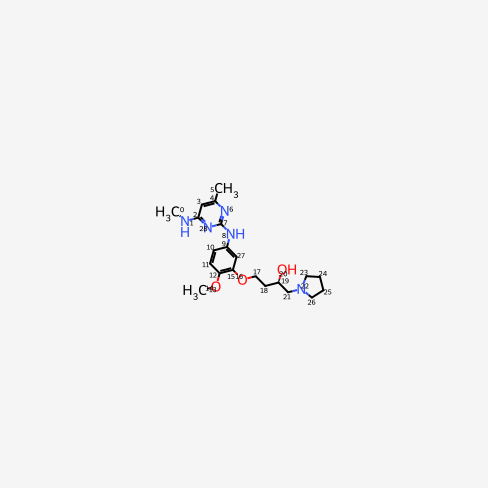 CNc1cc(C)nc(Nc2ccc(OC)c(OCC[C@@H](O)CN3CCCC3)c2)n1